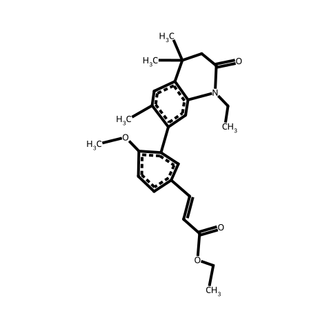 CCOC(=O)C=Cc1ccc(OC)c(-c2cc3c(cc2C)C(C)(C)CC(=O)N3CC)c1